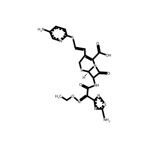 CCO/N=C(\C(=O)NC1C(=O)N2C(C(=O)O)=C(/C=C/Sc3ccc(N)cn3)CS[C@H]12)c1nsc(N)n1